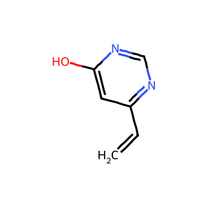 C=Cc1cc(O)ncn1